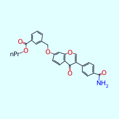 CCCOC(=O)c1cccc(COc2ccc3c(=O)c(-c4ccc(C(N)=O)cc4)coc3c2)c1